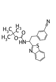 CC(C)(C)OC(=O)NC(Cc1cccc(C#N)c1)c1nc2ccccc2s1